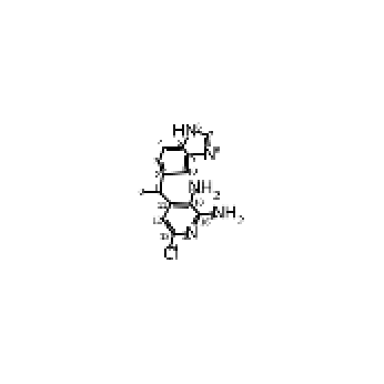 CC(c1ccc2[nH]cnc2c1)c1cc(Cl)nc(N)c1N